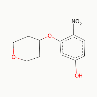 O=[N+]([O-])c1ccc(O)cc1OC1CCOCC1